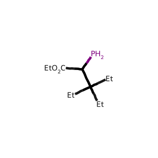 CCOC(=O)C(P)C(CC)(CC)CC